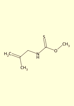 C=C(C)CNC(=S)OC